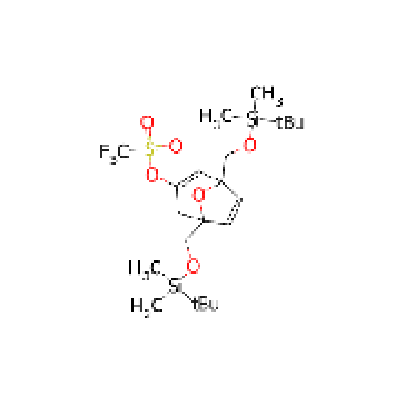 CC(C)(C)[Si](C)(C)OCC12C=CC(CO[Si](C)(C)C(C)(C)C)(CC(OS(=O)(=O)C(F)(F)F)=C1)O2